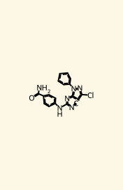 NC(=O)c1ccc(Nc2ncc3c(Cl)nn(-c4ccccc4)c3n2)cc1